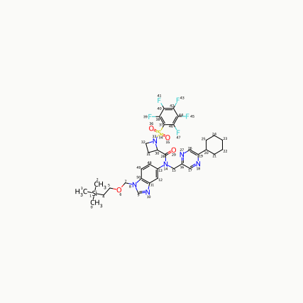 C[Si](C)(C)CCOCn1cnc2cc(N(Cc3cnc(C4CCCCC4)cn3)C(=O)C3CCN3S(=O)(=O)c3c(F)c(F)c(F)c(F)c3F)ccc21